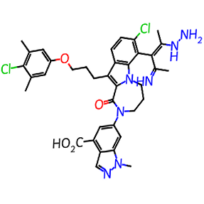 CC(=N)/C(=C(/C)NN)c1c(Cl)ccc2c(CCCOc3cc(C)c(Cl)c(C)c3)c3n(c12)CCCN(c1cc(C(=O)O)c2cnn(C)c2c1)C3=O